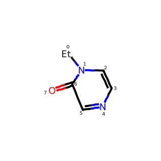 CCn1ccncc1=O